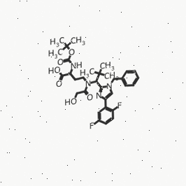 CC(C)(C)OC(=O)NC(CCN(C(=O)CO)C(c1nc(-c2cc(F)ccc2F)cn1Cc1ccccc1)C(C)(C)C)C(=O)O